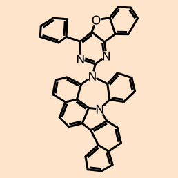 c1ccc(-c2nc(-n3c4cccc5ccc6c7c8ccccc8ccc7n(c7ccccc73)c6c54)nc3c2oc2ccccc23)cc1